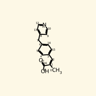 CC(=Cc1ccc(Cc2ccncc2)cc1)C(=O)O